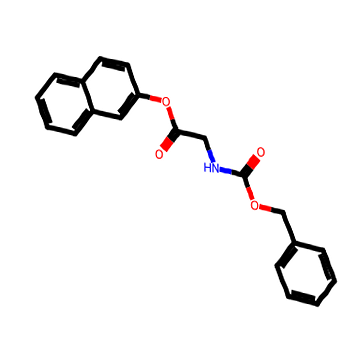 O=C(CNC(=O)OCc1ccccc1)Oc1ccc2ccccc2c1